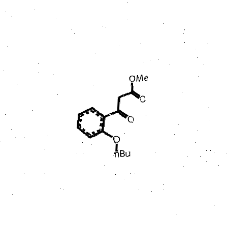 CCCCOc1ccccc1C(=O)CC(=O)OC